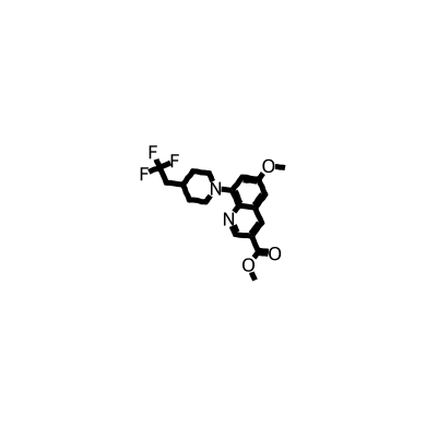 COC(=O)c1cnc2c(N3CCC(CC(F)(F)F)CC3)cc(OC)cc2c1